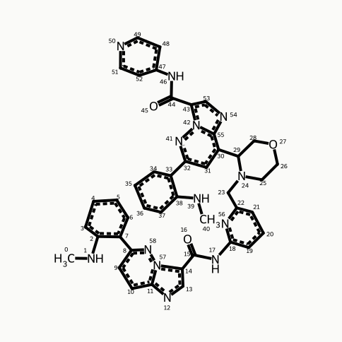 CNc1ccccc1-c1ccc2ncc(C(=O)Nc3cccc(CN4CCOCC4c4cc(-c5ccccc5NC)nn5c(C(=O)Nc6ccncc6)cnc45)n3)n2n1